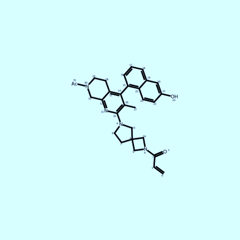 C=CC(=O)N1CC2(CCN(c3nc4c(c(-c5cccc6cc(O)ccc56)c3C)CCN(C(C)=O)C4)C2)C1